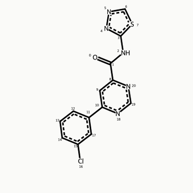 O=C(Nc1nncs1)c1cc(-c2cccc(Cl)c2)ncn1